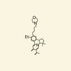 C=C(C)C1=CN2C(=CC1=C)c1cc(CC)c(CCCCN3CCOCC3)cc1C1CCC(C)(C)C12